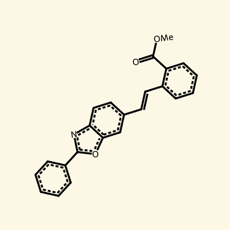 COC(=O)c1ccccc1/C=C/c1ccc2nc(-c3ccccc3)oc2c1